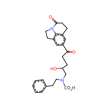 O=C(CCC(O)CN(CCc1ccccc1)C(=O)O)c1cc2c3c(c1)CCN3C(=O)CC2